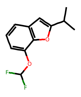 CC(C)c1cc2[c]ccc(OC(F)F)c2o1